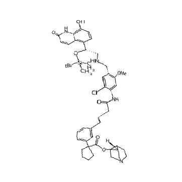 COc1cc(NC(=O)CCCc2cccc(C3(C(=O)O[C@H]4CN5CCC4CC5)CCCC3)c2)c(Cl)cc1CNC[C@H](O[Si](C)(C)C(C)(C)C)c1ccc(O)c2[nH]c(=O)ccc12